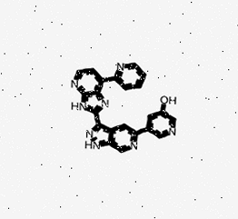 Oc1cncc(-c2cc3c(-c4nc5c(-c6ccccn6)ccnc5[nH]4)n[nH]c3cn2)c1